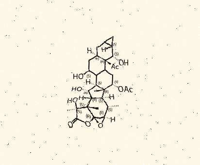 CC(=O)O[C@H]1CC2C([C@@H]3[C@@H](O)[C@@H]4[C@H]([C@H](C)[C@H]5O[C@]56OC(=O)[C@@](C)(O)[C@]46C)[C@@]13C)[C@@H](O)C[C@H]1CC3C[C@@H]3[C@H](O)[C@]21C(C)=O